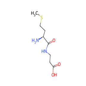 CSCC[C@H](N)C(=O)NCCC(=O)O